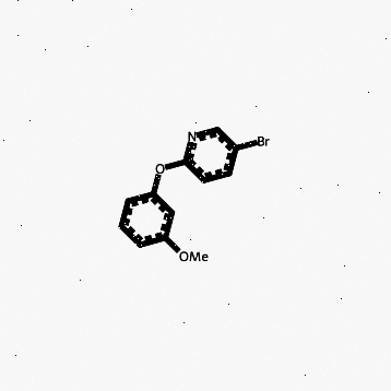 COc1cccc(Oc2ccc(Br)cn2)c1